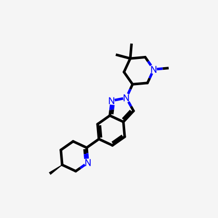 C[C@H]1CCC(c2ccc3cn(C4CN(C)CC(C)(C)C4)nc3c2)=NC1